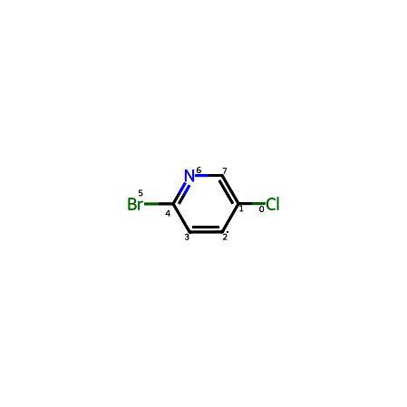 Clc1[c]cc(Br)nc1